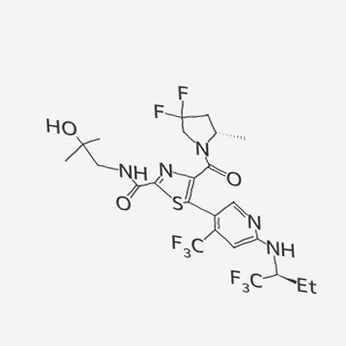 CC[C@H](Nc1cc(C(F)(F)F)c(-c2sc(C(=O)NCC(C)(C)O)nc2C(=O)N2CC(F)(F)C[C@@H]2C)cn1)C(F)(F)F